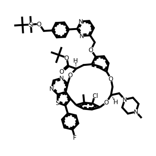 Cc1c2ccc(c1Cl)O[C@H](CN1CCN(C)CC1)COc1ccc(OCc3ccnc(-c4ccc(CO[Si](C)(C)C(C)(C)C)cc4)n3)c(c1)C[C@H](C(=O)OC(C)(C)C)Oc1ncnc3sc(-c4ccc(F)cc4)c-2c13